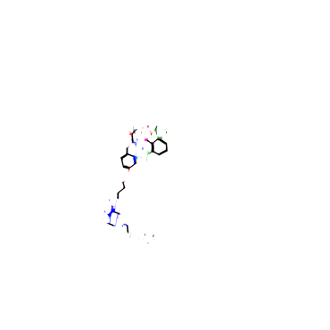 COCCN1CCN=C(NCCCCOc2ccc(C[C@H](NC(=O)c3c(Cl)cccc3Cl)C(=O)OC)cc2)C1=O